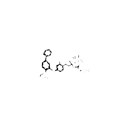 CCC[C@@](CO)(CCc1ccc(Sc2cc(-c3ccccc3)ccc2OCOC)cc1Cl)NC(=O)OC(C)(C)C